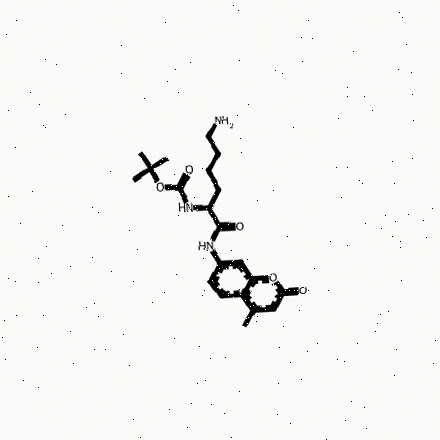 Cc1cc(=O)oc2cc(NC(=O)C(CCCCN)NC(=O)OC(C)(C)C)ccc12